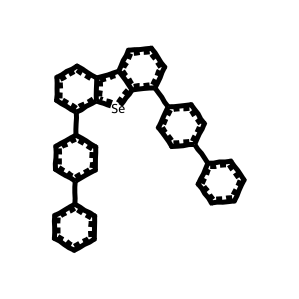 c1ccc(-c2ccc(-c3cccc4c3[se]c3c(-c5ccc(-c6ccccc6)cc5)cccc34)cc2)cc1